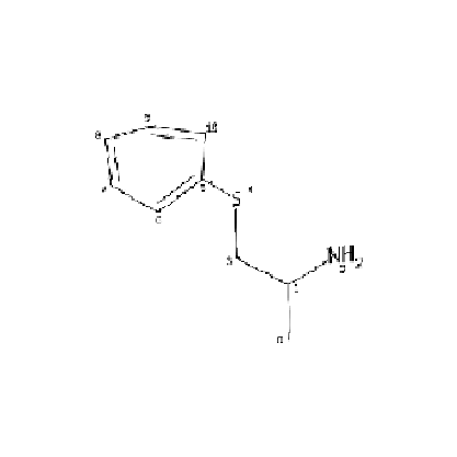 CC(N)CSc1ccccc1